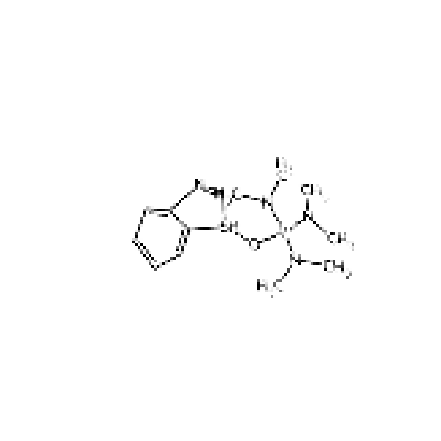 CN(C)[P+](O[SH]1C=Nc2ccccc21)(N(C)C)N(C)C